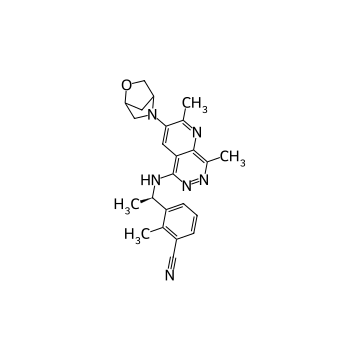 Cc1nc2c(C)nnc(N[C@H](C)c3cccc(C#N)c3C)c2cc1N1CC2CC1CO2